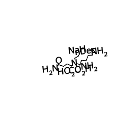 CCCCCCCCCCCCN([C@@H](CCC(N)=O)C(=O)O)[C@](N)(CCCCN)C(=O)O.[NaH]